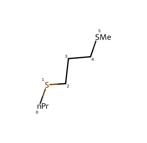 [CH2]CCSCCCSC